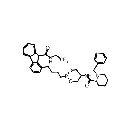 O=C(NCC(F)(F)F)C1c2ccccc2-c2cccc(CCCCP3OCC(NC(=O)C4CCCCN4Cc4ccccc4)CO3)c21